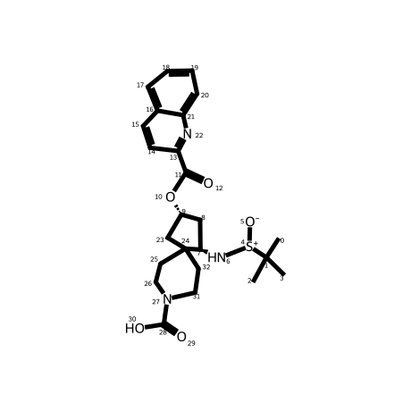 CC(C)(C)[S+]([O-])N[C@@H]1C[C@@H](OC(=O)c2ccc3ccccc3n2)CC12CCN(C(=O)O)CC2